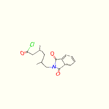 CC(CC(=O)Cl)CC(C)CN1C(=O)c2ccccc2C1=O